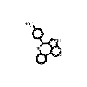 O=C(O)c1ccc(C2Nc3ccccc3-c3cnnc4[nH]cc2c34)cc1